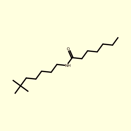 CCCCCCC(=O)NCCCCCC(C)(C)C